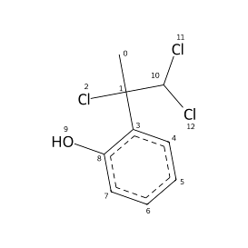 CC(Cl)(c1ccccc1O)C(Cl)Cl